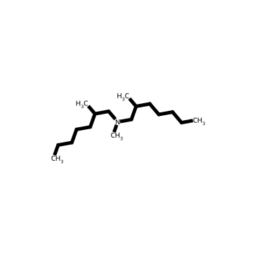 CCCCCC(C)CN(C)CC(C)CCCCC